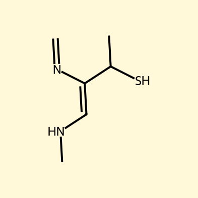 C=N/C(=C\NC)C(C)S